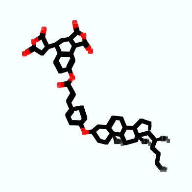 CC(C)CCC[C@@H](C)[C@H]1CCC2C3CC=C4CC(Oc5ccc(C=CC(=O)Oc6ccc7c(c6)C6C(=O)OC(=O)C6CC7C6CC(=O)OC6=O)cc5)CC[C@]4(C)C3CC[C@@]21C